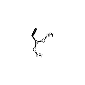 C=CB(OCCC)OCCC